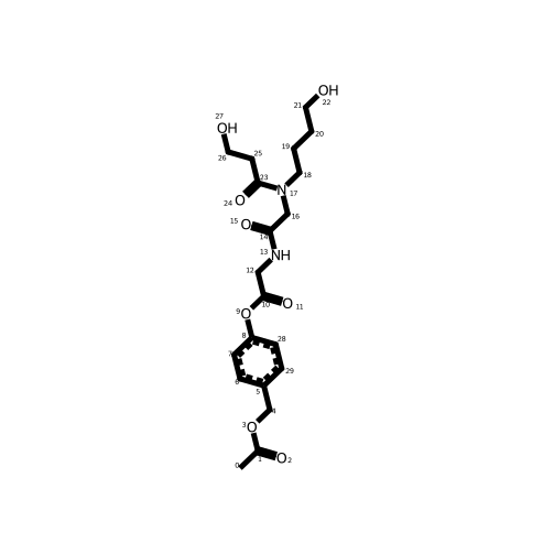 CC(=O)OCc1ccc(OC(=O)CNC(=O)CN(CCCCO)C(=O)CCO)cc1